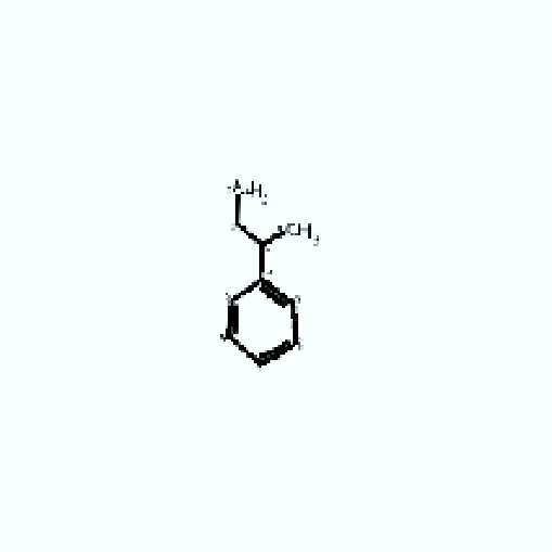 CC(C[AsH2])c1ccccc1